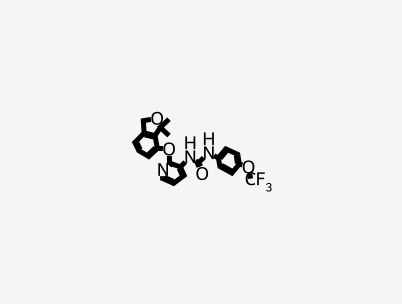 CC1(C)OCc2cccc(Oc3ncccc3NC(=O)Nc3ccc(OC(F)(F)F)cc3)c21